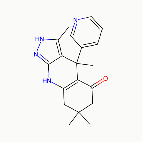 Cc1[nH]nc2c1C(C)(c1cccnc1)C1=C(CC(C)(C)CC1=O)N2